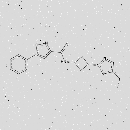 CCc1cnn([C@H]2C[C@@H](NC(=O)c3cc(-c4ccccc4)on3)C2)n1